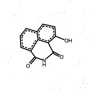 O=C1NC(=O)c2c(O)ccc3cccc1c23